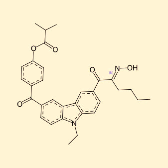 CCCC/C(=N\O)C(=O)c1ccc2c(c1)c1cc(C(=O)c3ccc(OC(=O)C(C)C)cc3)ccc1n2CC